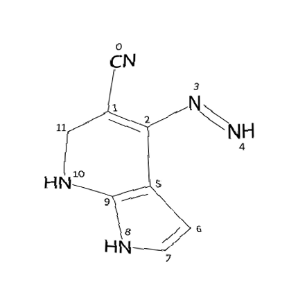 N#CC1=C(N=N)c2cc[nH]c2NC1